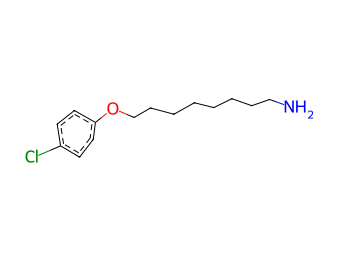 NCCCCCCCCOc1ccc(Cl)cc1